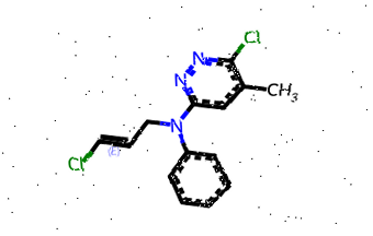 Cc1cc(N(C/C=C/Cl)c2ccccc2)nnc1Cl